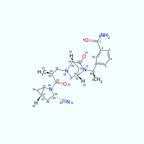 C[C@H](c1cccc(C(N)=O)c1)N1C(=O)[C@@H]2C[C@H]1CN2C[C@H](C)C(=O)N1C2C[C@H]2C[C@H]1C#N